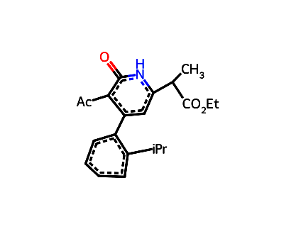 CCOC(=O)C(C)c1cc(-c2ccccc2C(C)C)c(C(C)=O)c(=O)[nH]1